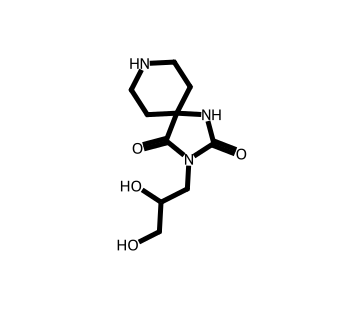 O=C1NC2(CCNCC2)C(=O)N1CC(O)CO